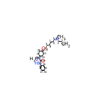 C=CCN(C)CCCCCCO[C@H]1CC[C@H](N(C)C(=O)Nc2ccccc2)CC1